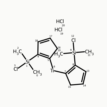 C[Si](C)(Cl)C1=[C]([Ti][C]2=C([Si](C)(C)Cl)C=CC2)CC=C1.Cl.Cl